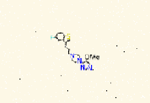 COc1cncnc1N1CCN(CCCc2csc3ccc(F)cc23)CC1